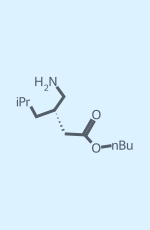 CCCCOC(=O)C[C@@H](CN)CC(C)C